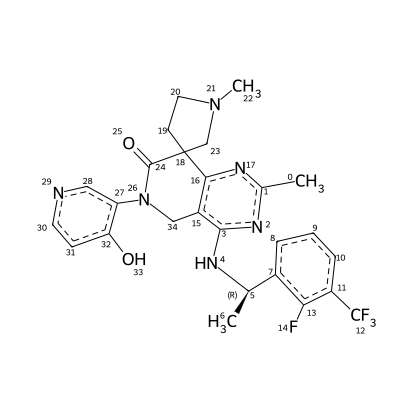 Cc1nc(N[C@H](C)c2cccc(C(F)(F)F)c2F)c2c(n1)C1(CCN(C)C1)C(=O)N(c1cnccc1O)C2